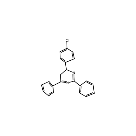 Clc1ccc(C2CC(c3ccccc3)=NC(c3ccccc3)=N2)cc1